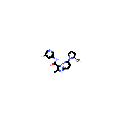 Cc1nc2ccc(N3CCC[C@H]3C(F)(F)F)nn2c1C(=O)Nc1cncc(F)c1